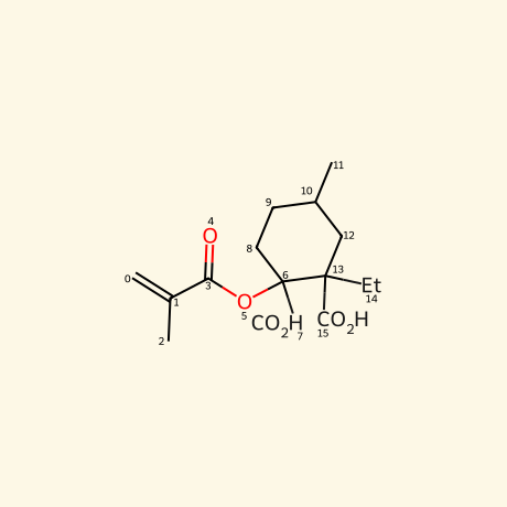 C=C(C)C(=O)OC1(C(=O)O)CCC(C)CC1(CC)C(=O)O